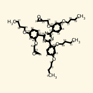 CCCCOc1ccc(-c2nc(-c3ccc(OCCCC)cc3OCC3CO3)nc(-c3ccc(OCCCC)cc3OCC3CO3)n2)c(OCCCC)c1